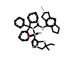 CCC1(C)Cn2ncc(S(=N)(=O)N(C(=O)Nc3c4c(cc5c3C[C@H](F)C5)CCC4)C(c3ccccc3)(c3ccccc3)c3ccccc3)c2O1